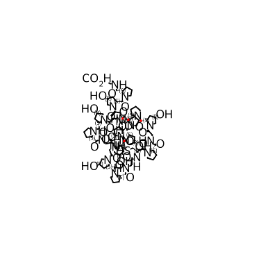 O=C(O)CNC(=O)[C@@H]1CCCN1C(=O)[C@@H]1C[C@@H](O)CN1C(=O)CNC(=O)[C@@H]1CCCN1C(=O)[C@@H]1C[C@@H](O)CN1C(=O)CNC(=O)[C@@H]1CCCN1C(=O)[C@H](CS)NC(=O)CNC(=O)[C@@H]1CCCN1C(=O)[C@@H]1C[C@@H](O)CN1C(=O)CNC(=O)[C@@H]1CCCN1C(=O)[C@@H]1C[C@@H](O)CN1C(=O)CNC(=O)[C@@H]1CCCN1C(=O)[C@@H]1C[C@@H](O)CN1C(=O)CNC(=O)[C@@H]1CCCN1C(=O)[C@@H]1C[C@@H](O)CN1